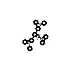 c1ccc(-n2c3ccccc3c3cc(-c4ccc(-c5ccc6c(c5)c5ccccc5n6-c5ccccc5)c5sc(-n6c7ccccc7c7ccccc76)nc45)ccc32)cc1